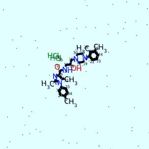 Cc1ccc(-n2c(C)nc(C(=O)NCC(O)CN3CCN(c4cccc(C)c4C)CC3)c2C)cc1.Cl.Cl